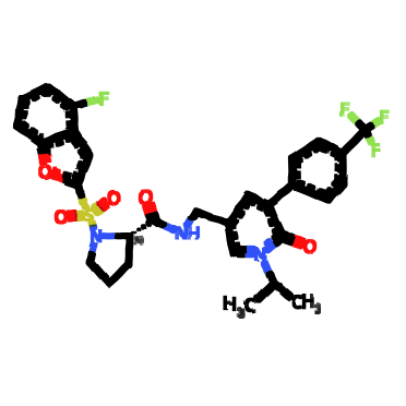 CC(C)n1cc(CNC(=O)[C@@H]2CCCN2S(=O)(=O)c2cc3c(F)cccc3o2)cc(-c2ccc(C(F)(F)F)cc2)c1=O